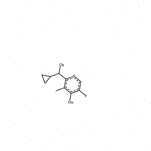 Cc1c(C(C#N)C2CC2)ncc(F)c1O